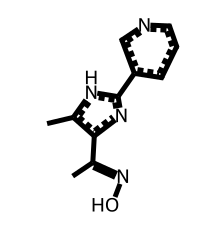 CC(=NO)c1nc(-c2cccnc2)[nH]c1C